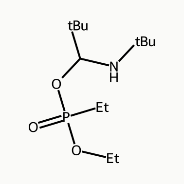 CCOP(=O)(CC)OC(NC(C)(C)C)C(C)(C)C